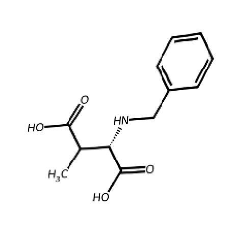 CC(C(=O)O)[C@H](NCc1ccccc1)C(=O)O